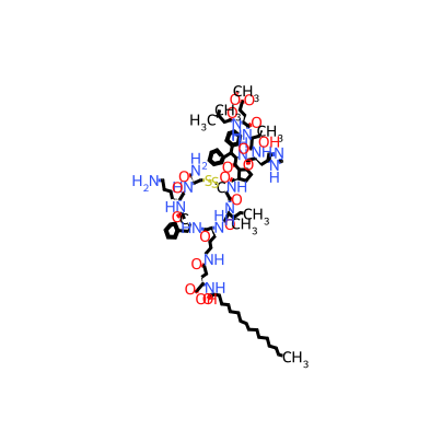 CCCCCCCCCCCCCCCC(=O)N[C@@H](CCC(=O)NCCCC[C@@H]1NC(=O)[C@H]([C@@H](C)CC)NC(=O)[C@@H](NC(=O)[C@@H]2CCCC2C(=O)[C@@H](NC(=O)[C@H](Cc2cnc[nH]2)NC(=O)[C@@H](NC(=O)[C@H](CCC(=O)OC)NC(=O)CC(C)C)[C@@H](C)O)C(c2ccccc2)c2ccccc2)CSSC[C@@H](C(N)=O)NC(=O)[C@@H](CCCCN)NC(=O)C[C@H](Cc2ccccc2)NC1=O)C(=O)O